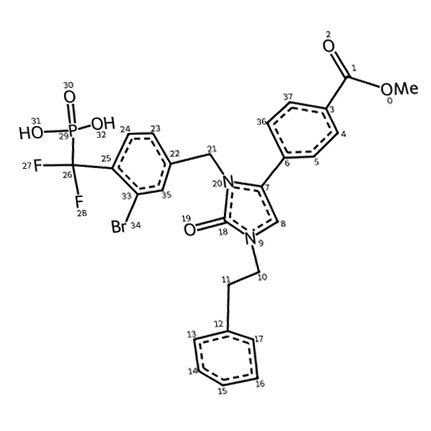 COC(=O)c1ccc(-c2cn(CCc3ccccc3)c(=O)n2Cc2ccc(C(F)(F)P(=O)(O)O)c(Br)c2)cc1